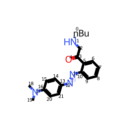 CCCCNCC(=O)c1ccccc1/N=N/c1ccc(N(C)C)cc1